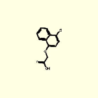 O=C(O)COc1ccc(Cl)c2ccccc12